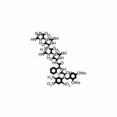 COc1ccc(CN(c2cc(N)c([N+](=O)[O-])cc2[N+](=O)[O-])C(O)C(=O)NC(C(=O)NC(NC(=N)N)C(=O)NC(NC(=N)N)C(=O)NC(NC(=N)N)C(=O)NC(NC(=N)N)C(N)=O)c2ccccc2)c(OC)c1